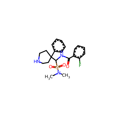 CN(C)S(=O)(=O)C(NC(=O)c1ccccc1F)C1(c2ccccc2)CCNCC1